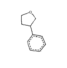 [c]1ccc(C2CCOC2)cc1